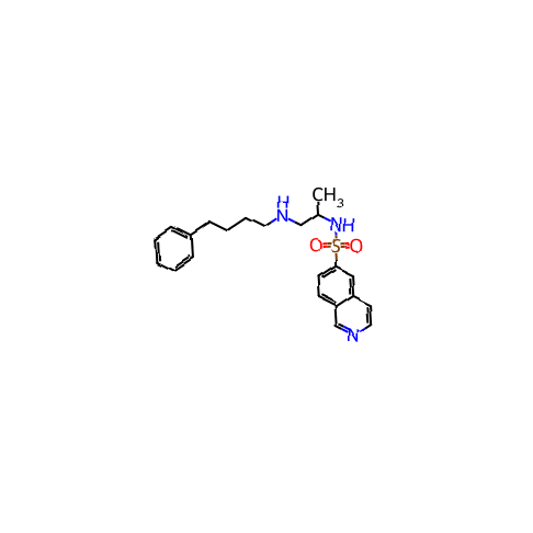 CC(CNCCCCc1ccccc1)NS(=O)(=O)c1ccc2cnccc2c1